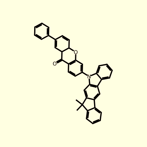 CC1(C)c2ccccc2-c2cc3c4ccccc4n(-c4ccc5c(c4)OC4C=CC(c6ccccc6)=CC4C5=O)c3cc21